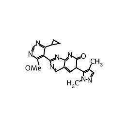 COc1ncnc(C2CC2)c1-c1ncc2c(n1)=NC(=O)C(c1c(C)cnn1C)C=2